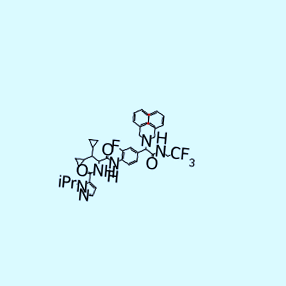 CC(C)n1nccc1C(=O)N[C@H](C(=O)Nc1ccc(C(C(=O)NCC(F)(F)F)N(Cc2ccccc2)Cc2ccccc2)cc1F)C(C1CC1)C1CC1